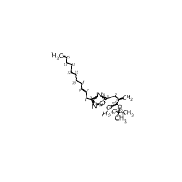 C=C(Cc1nc(CCCCCCCCCCC)no1)C(=O)OC(C)(C)C